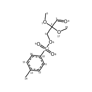 COC(C=O)(COS(=O)(=O)c1ccc(C)cc1)OC